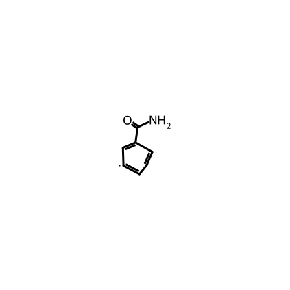 NC(=O)c1[c]cc[c]c1